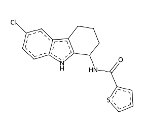 O=C(NC1CCCc2c1[nH]c1ccc(Cl)cc21)c1cccs1